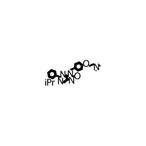 CC(C)c1ccccc1-c1ncc2c(n1)n(Cc1ccc(OCCN(C)C)cc1)c(=O)n2C